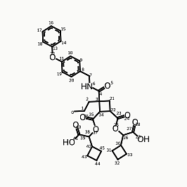 CCCC1(C(=O)NCc2ccc(Oc3ccccc3)cc2)CC(C(=O)OC(C(=O)O)C2CCC2)C1C(=O)OC(C(=O)O)C1CCC1